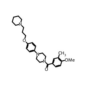 COc1ccc(C(=O)N2CCN(c3ccc(OCCCN4CCCCC4)cc3)CC2)cc1C